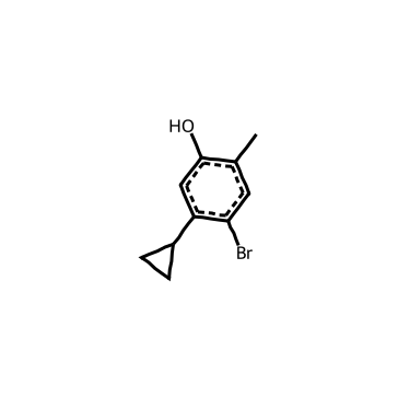 Cc1cc(Br)c(C2CC2)cc1O